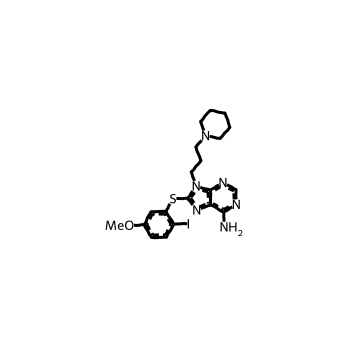 COc1ccc(I)c(Sc2nc3c(N)ncnc3n2CCCN2CCCCC2)c1